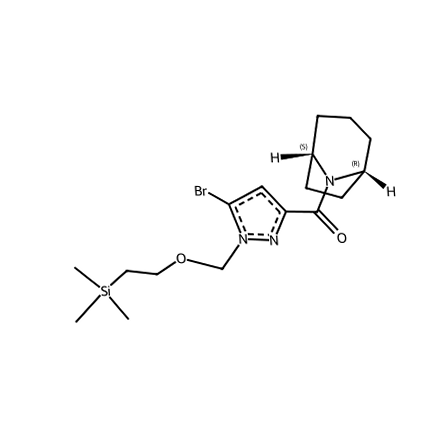 C[Si](C)(C)CCOCn1nc(C(=O)N2[C@@H]3CCC[C@H]2CC3)cc1Br